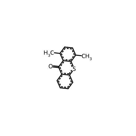 Cc1ccc(C)c2c(=O)c3ccccc3sc12